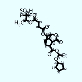 CCC(OC(=O)C1C2CC3C(OC(=O)C31)C2OC(=O)CCC(=O)OC(C)C(F)(F)S(=O)(=O)O)OC1CCCC1